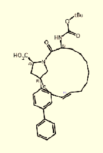 CC(C)(C)OC(=O)N[C@H]1CCCCCC/C=C/CS[C@@]2(c3ccc(-c4ccccc4)cc3)C[C@@H](C(=O)O)N(C2)C1=O